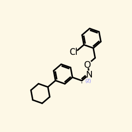 Clc1ccccc1CO/N=[C]\c1cccc(C2CCCCC2)c1